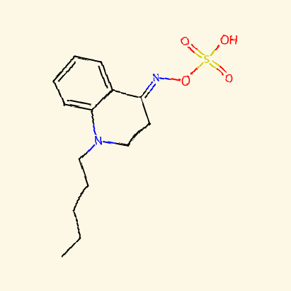 CCCCCN1CCC(=NOS(=O)(=O)O)c2ccccc21